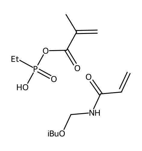 C=C(C)C(=O)OP(=O)(O)CC.C=CC(=O)NCOCC(C)C